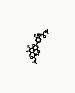 Cc1c(F)c(NC(=O)CN(C)C)c2c(=O)cc(-c3ccc(NC(=O)CN(C)C)c(F)c3)oc2c1F